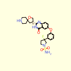 NS(=O)(=O)N1CCC(F)(c2cccc(Oc3ccc4nc([C@H]5COC6(CCNCC6)C5)[nH]c(=O)c4c3)c2)C1